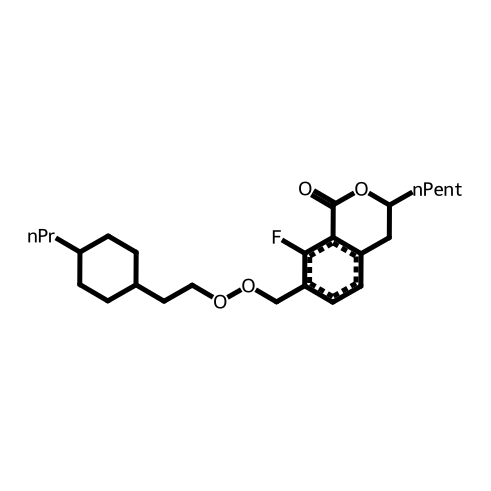 CCCCCC1Cc2ccc(COOCCC3CCC(CCC)CC3)c(F)c2C(=O)O1